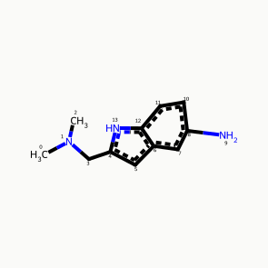 CN(C)Cc1cc2cc(N)ccc2[nH]1